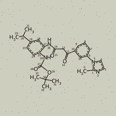 Cc1nccn1-c1cccc(C(=O)CC(=O)Nc2cc(C(C)C)ccc2NC(=O)OC(C)(C)C)c1